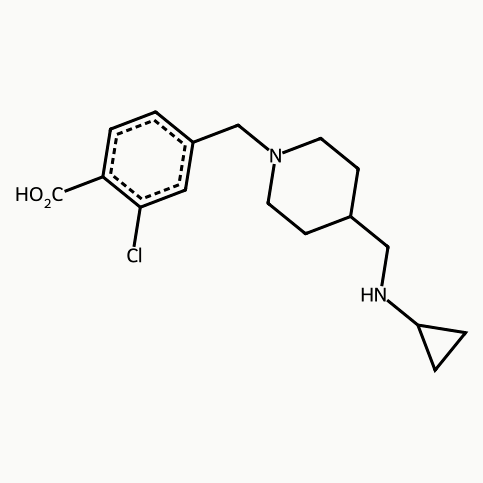 O=C(O)c1ccc(CN2CCC(CNC3CC3)CC2)cc1Cl